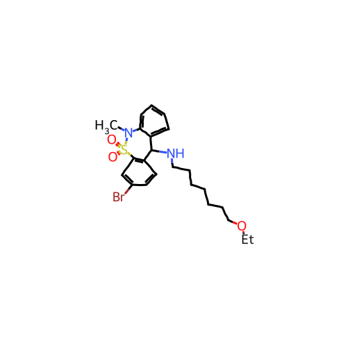 CCOCCCCCCCNC1c2ccccc2N(C)S(=O)(=O)c2cc(Br)ccc21